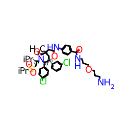 CC(C)[C@@H](CS(=O)(=O)C(C)C)N1C(=O)[C@@](C)(CC(=O)Nc2ccc(C(=O)NCCCOCCCN)cc2)C[C@H](c2cccc(Cl)c2)[C@H]1c1ccc(Cl)cc1